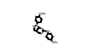 COc1ccc(-n2ncc3cnc(Nc4ccc(SC)cc4)nc32)cc1